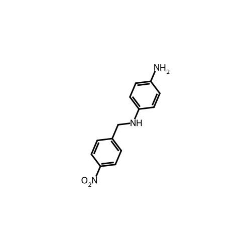 Nc1ccc(NCc2ccc([N+](=O)[O-])cc2)cc1